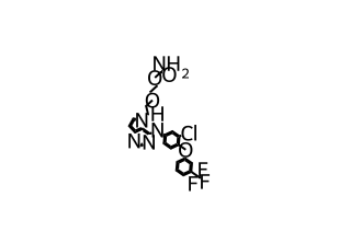 NC(=O)OCCOCCn1ccc2ncnc(Nc3ccc(Oc4cccc(C(F)(F)F)c4)c(Cl)c3)c21